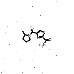 CC1CCCN1C(=O)c1csc(C(N)=O)n1